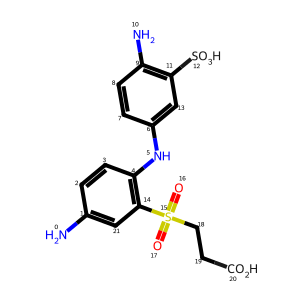 Nc1ccc(Nc2ccc(N)c(S(=O)(=O)O)c2)c(S(=O)(=O)CCC(=O)O)c1